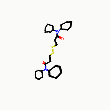 O=C(CCSSCCC(=O)N(C1CCCCC1)C1CCCCC1)N(C1CCCCC1)C1CCCCC1